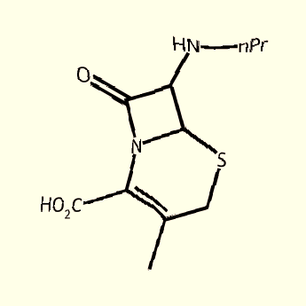 CCCNC1C(=O)N2C(C(=O)O)=C(C)CSC12